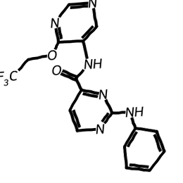 O=C(Nc1cncnc1OCC(F)(F)F)c1ccnc(Nc2ccccc2)n1